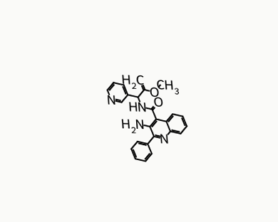 C=C(OC)C(NC(=O)c1c(N)c(-c2ccccc2)nc2ccccc12)c1cccnc1